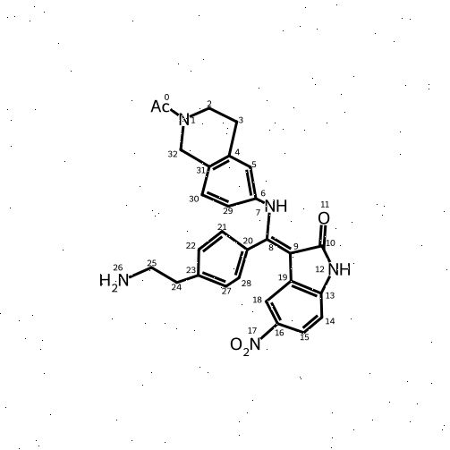 CC(=O)N1CCc2cc(NC(=C3C(=O)Nc4ccc([N+](=O)[O-])cc43)c3ccc(CCN)cc3)ccc2C1